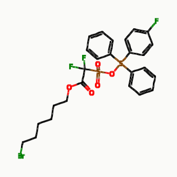 O=C(OCCCCCCBr)C(F)(F)S(=O)(=O)OS(c1ccccc1)(c1ccccc1)c1ccc(F)cc1